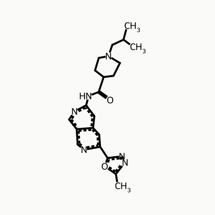 Cc1nnc(-c2cc3cc(NC(=O)C4CCN(CC(C)C)CC4)ncc3cn2)o1